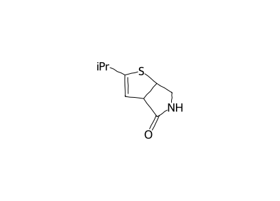 CC(C)C1=CC2C(=O)NCC2S1